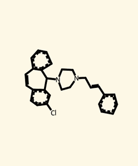 Clc1ccc2c(c1)C(N1CCN(CC=Cc3ccccc3)CC1)c1ccccc1C=C2